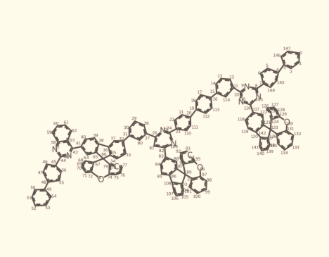 c1ccc(-c2ccc(-c3nc(-c4cccc(-c5ccc(-c6ccc(-c7nc(-c8cccc(-c9ccc%10c(c9)-c9ccc(-c%11nc(-c%12ccc(-c%13ccccc%13)cc%12)nc%12ccccc%11%12)cc9C%109c%10ccccc%10Oc%10ccccc%109)c8)cc(-c8ccc9c(c8)C8(c%10ccccc%10Oc%10ccccc%108)c8ccccc8-9)n7)cc6)cc5)c4)nc(-c4ccc5c(c4)C4(c6ccccc6Oc6ccccc64)c4ccccc4-5)n3)cc2)cc1